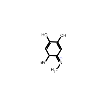 CCCC1C=C(O)C(O)=C/C1=N/C